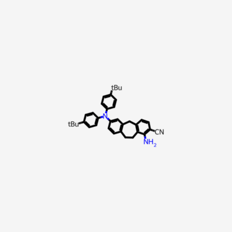 CC(C)(C)c1ccc(N(c2ccc(C(C)(C)C)cc2)c2ccc3c(c2)Cc2ccc(C#N)c(N)c2CC3)cc1